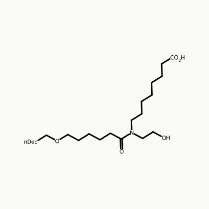 CCCCCCCCCCCOCCCCCC(=O)N(CCO)CCCCCCCC(=O)O